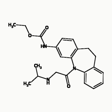 CCOC(=O)Nc1ccc2c(c1)N(C(=O)CNC(C)C)c1ccccc1CC2